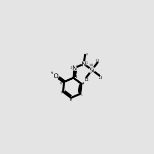 CN(N=C1C=CC=CC1=O)[Si](C)(C)C